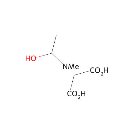 CNC(C)O.O=C(O)CC(=O)O